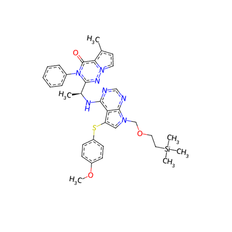 COc1ccc(Sc2cn(COCC[Si](C)(C)C)c3ncnc(N[C@@H](C)c4nn5ccc(C)c5c(=O)n4-c4ccccc4)c23)cc1